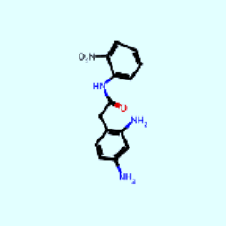 Nc1ccc(CC(=O)Nc2ccccc2[N+](=O)[O-])c(N)c1